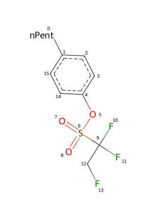 CCCCCc1ccc(OS(=O)(=O)C(F)(F)CF)cc1